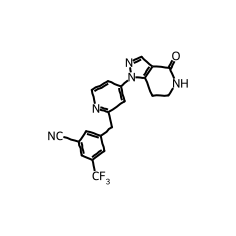 N#Cc1cc(Cc2cc(-n3ncc4c3CCNC4=O)ccn2)cc(C(F)(F)F)c1